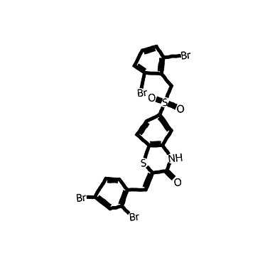 O=C1Nc2cc(S(=O)(=O)Cc3c(Br)cccc3Br)ccc2SC1=Cc1ccc(Br)cc1Br